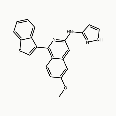 COc1ccc2c(-c3csc4ccccc34)nc(Nc3cc[nH]n3)cc2c1